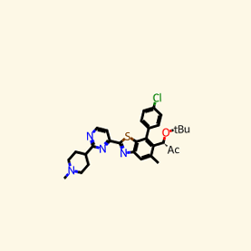 CC(=O)[C@@H](OC(C)(C)C)c1c(C)cc2nc(-c3ccnc(C4CCN(C)CC4)n3)sc2c1-c1ccc(Cl)cc1